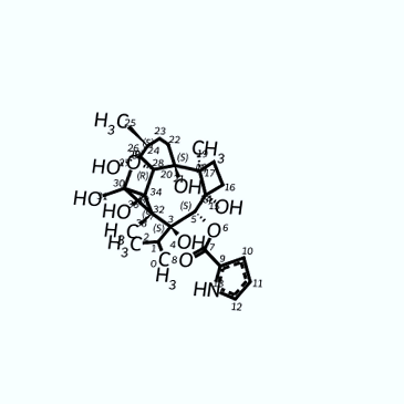 CC(C)[C@@]1(O)[C@@H](OC(=O)c2ccc[nH]2)[C@]2(O)CC[C@]2(C)[C@@]2(O)CC[C@H](C)[C@@H](O)[C@@]23OC2(O)[C@]1(C)[C@]23O